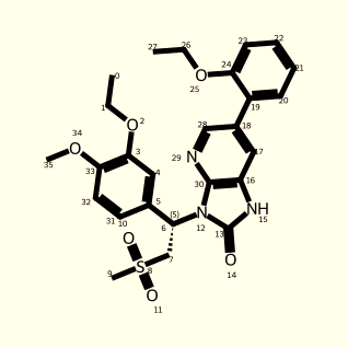 CCOc1cc([C@@H](CS(C)(=O)=O)n2c(=O)[nH]c3cc(-c4ccccc4OCC)cnc32)ccc1OC